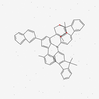 CC1=C(c2cc(-c3ccc4ccccc4c3)cc(-c3ccccc3C)c2N(c2c#cc3c(c2)C(C)(C)c2ccccc2-3)c2ccc3c(c2)C(C)(C)c2ccccc2-3)CCC=C1